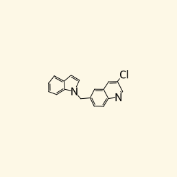 Clc1cnc2ccc(Cn3ccc4ccccc43)cc2c1